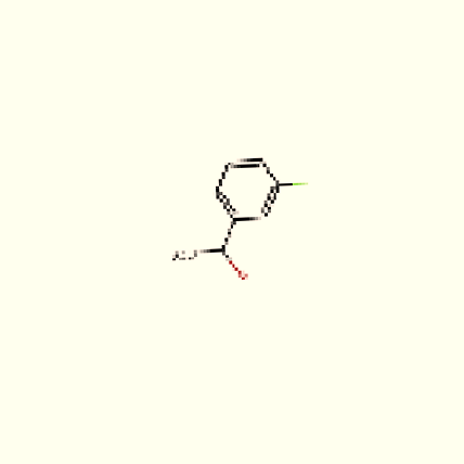 CC(=O)OC(Br)c1cccc(F)c1